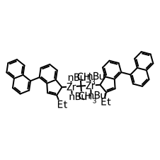 CCC[CH2][Zr]([CH2]CCC)([CH]1C(CC)=Cc2c(-c3cccc4ccccc34)cccc21)[C](C)(C)[Zr]([CH2]CCC)([CH2]CCC)[CH]1C(CC)=Cc2c(-c3cccc4ccccc34)cccc21